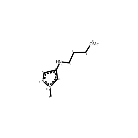 COCCCNc1cnn(C)c1